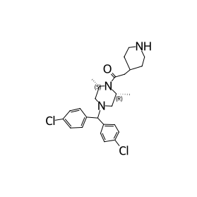 C[C@@H]1CN(C(c2ccc(Cl)cc2)c2ccc(Cl)cc2)C[C@H](C)N1C(=O)CC1CCNCC1